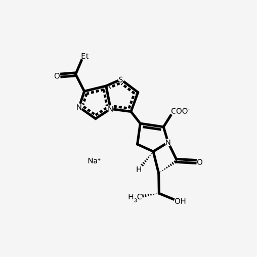 CCC(=O)c1ncn2c(C3=C(C(=O)[O-])N4C(=O)[C@H]([C@@H](C)O)[C@H]4C3)csc12.[Na+]